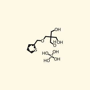 OCC(CO)(CO)COCc1cccs1.O[Si](O)(O)O